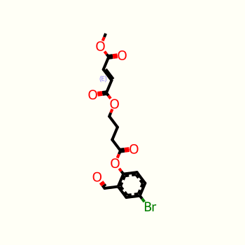 COC(=O)/C=C/C(=O)OCCCC(=O)Oc1ccc(Br)cc1C=O